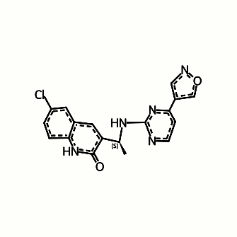 C[C@H](Nc1nccc(-c2cnoc2)n1)c1cc2cc(Cl)ccc2[nH]c1=O